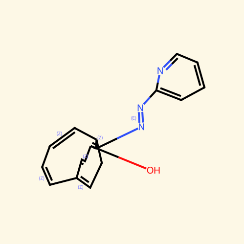 OC1=C(\N=N\c2ccccn2)C2/C=C\C=C/C(=C/C2)/C=C\1